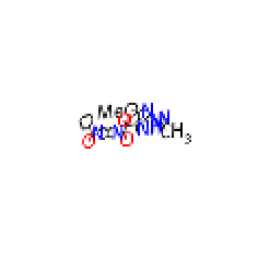 COc1cnc(-n2cnc(C)n2)c2[nH]cc(C(=O)C(=O)N3CC4CN(C(=O)c5ccccc5)CC4C3)c12